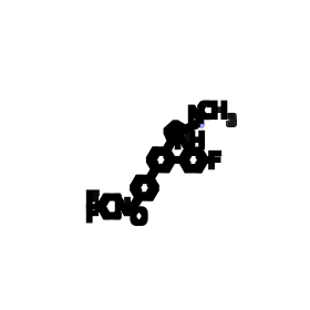 C/N=C/c1ccc(-c2ccc(-c3ccc(C(=O)N4CCC(F)(F)CC4)cc3)cc2-c2ccc(F)cc2)[nH]1